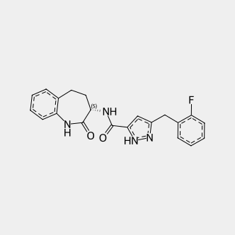 O=C(N[C@H]1CCc2ccccc2NC1=O)c1cc(Cc2ccccc2F)n[nH]1